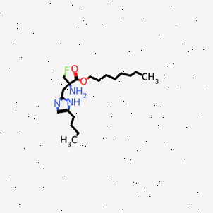 CCCCCCCCOC(=O)C(N)(CF)Cc1ncc(CCCC)[nH]1